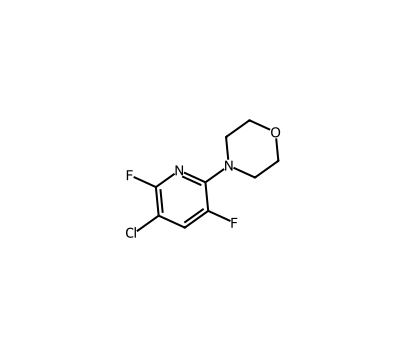 Fc1cc(Cl)c(F)nc1N1CCOCC1